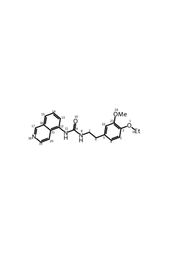 CCOc1ccc(CCNC(=O)Nc2cccc3cnccc23)cc1OC